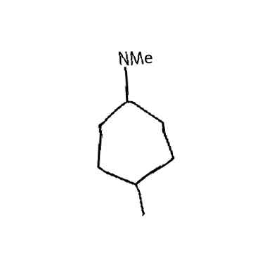 CNC1CCC(C)CC1